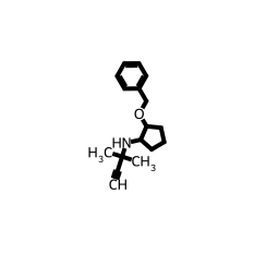 C#CC(C)(C)NC1CCCC1OCc1ccccc1